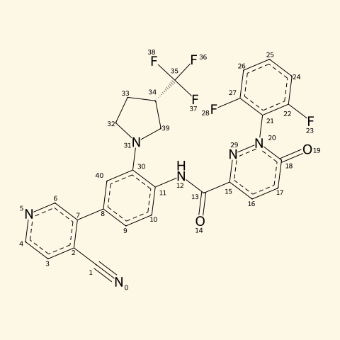 N#Cc1ccncc1-c1ccc(NC(=O)c2ccc(=O)n(-c3c(F)cccc3F)n2)c(N2CC[C@H](C(F)(F)F)C2)c1